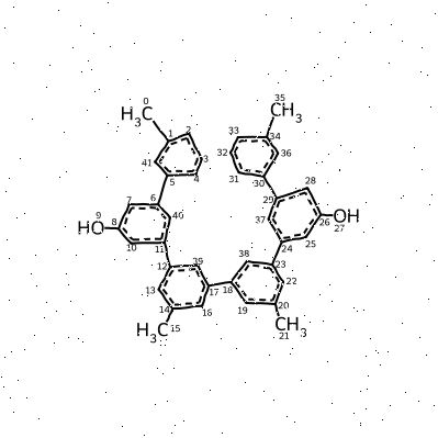 Cc1cccc(-c2cc(O)cc(-c3cc(C)cc(-c4cc(C)cc(-c5cc(O)cc(-c6cccc(C)c6)c5)c4)c3)c2)c1